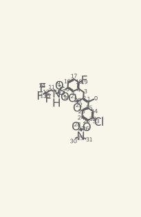 Cc1c(Cc2cc(S(=O)(=O)NCC(F)(F)F)ccc2F)c(=O)oc2cc(OC(=O)N(C)C)c(Cl)cc12